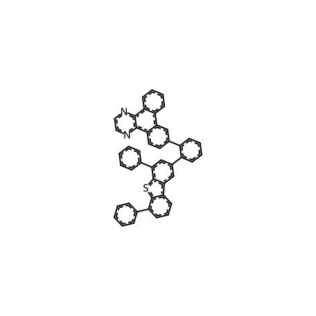 c1ccc(-c2cccc3c2sc2c(-c4ccccc4)cc(-c4ccccc4-c4ccc5c(c4)c4ccccc4c4nccnc54)cc23)cc1